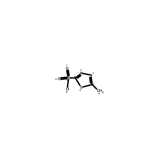 Cc1nnc(S(=O)(=O)Cl)s1